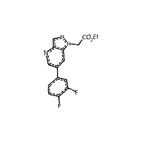 CCOC(=O)Cn1ncc2ncc(-c3ccc(F)c(F)c3)cc21